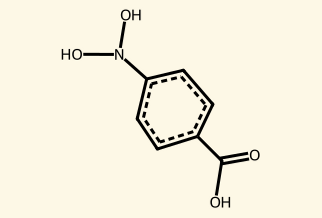 O=C(O)c1ccc(N(O)O)cc1